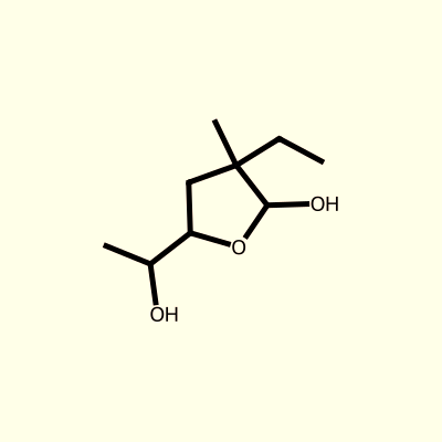 CCC1(C)CC(C(C)O)OC1O